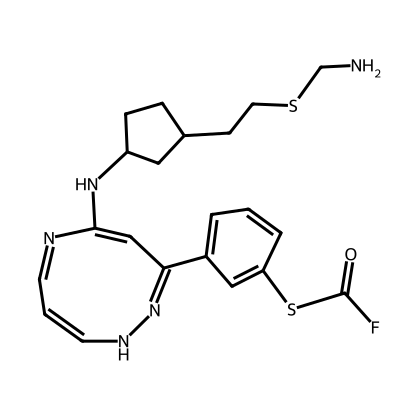 NCSCCC1CCC(Nc2cc(-c3cccc(SC(=O)F)c3)n[nH]cccn2)C1